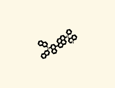 c1ccc(N(c2ccnc3ccccc23)c2ccc3ccc4c(-c5ccc(N(c6ccc7ccccc7c6)c6ccc7ccccc7c6)c6ccccc56)ccc5ccc2c3c54)cc1